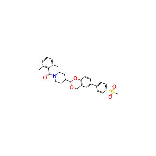 Cc1[c]ccc(C)c1C(=O)N1CCC(C2OCc3cc(-c4ccc(S(C)(=O)=O)cc4)ccc3O2)CC1